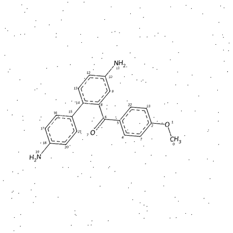 COc1ccc(C(=O)c2cc(N)ccc2-c2ccc(N)cc2)cc1